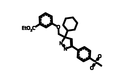 CCOC(=O)c1cccc(OCC2(C3CCCCC3)C=C(c3ccc(S(C)(=O)=O)cc3)N=N2)c1